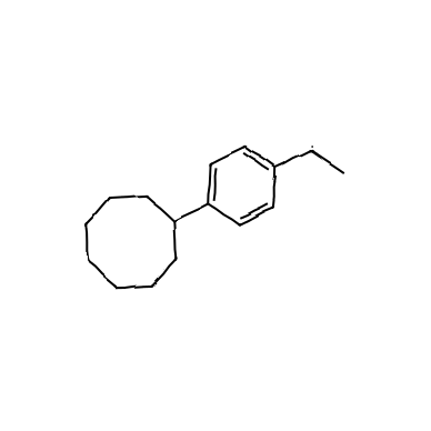 C[CH]c1ccc(C2CCCCCCC2)cc1